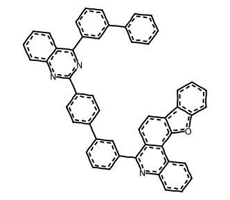 c1ccc(-c2cccc(-c3nc(-c4ccc(-c5cccc(-c6nc7ccccc7c7c6ccc6c8ccccc8oc67)c5)cc4)nc4ccccc34)c2)cc1